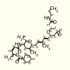 CCCNC(=O)C[C@@H]1C[C@@]2(CO2)C[C@@H](/C=C/C(C)=C/C[C@@H]2O[C@H](C)[C@H](NC(=O)/C=C\[C@H](C)OC(=O)N3CCCCC3)C[C@@H]2C)O1